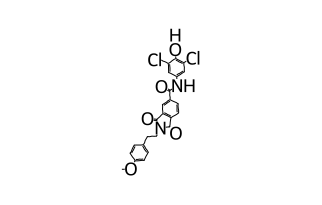 COc1ccc(CCN2C(=O)c3ccc(C(=O)Nc4cc(Cl)c(O)c(Cl)c4)cc3C2=O)cc1